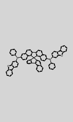 c1ccc(N(c2ccc3c4c(ccc3c2)-c2ccc3cc(N(c5ccccc5)c5ccc6c(c5)oc5ccccc56)ccc3c2C42c3ccccc3-c3c2ccc2ccccc32)c2ccc3c(c2)oc2ccccc23)cc1